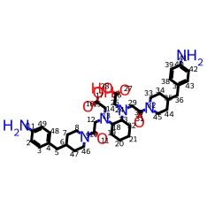 Nc1ccc(CC2CCN(C(=O)CN(CC(=O)O)C3CCCCC3N(CC(=O)O)CC(=O)N3CCC(Cc4ccc(N)cc4)CC3)CC2)cc1